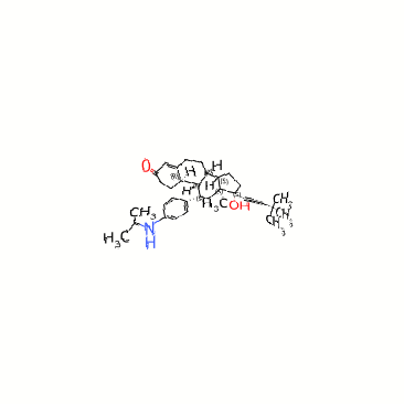 CC(C)Nc1ccc([C@H]2C[C@@]3(C)[C@@H](CC[C@@]3(O)C#CC(C)(C)C)[C@@H]3CCC4=CC(=O)CC[C@@H]4[C@H]32)cc1